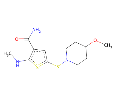 CNc1sc(SN2CCC(OC)CC2)cc1C(N)=O